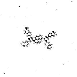 Cc1ccc(-c2nc(-c3ccc4ncccc4c3)nc(-c3ccc4ccc5c(-c6nc(-c7ccc8ncccc8c7)nc(-c7ccc8ncccc8c7)n6)ccc6ccc3c4c65)n2)cc1/C=C\C=N